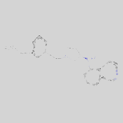 CC(=O)NCc1cccc(CN2CC[C@@H](Nc3cccc4cnccc34)C2)c1